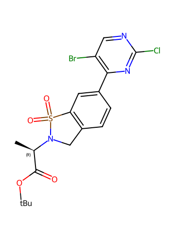 C[C@H](C(=O)OC(C)(C)C)N1Cc2ccc(-c3nc(Cl)ncc3Br)cc2S1(=O)=O